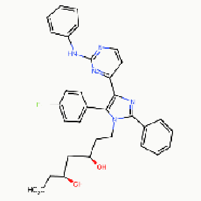 O=C(O)C[C@H](O)C[C@H](O)CCn1c(-c2ccccc2)nc(-c2ccnc(Nc3ccccc3)n2)c1-c1ccc(F)cc1